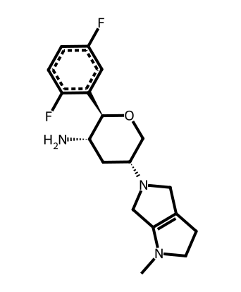 CN1CCC2=C1CN([C@H]1CO[C@H](c3cc(F)ccc3F)[C@@H](N)C1)C2